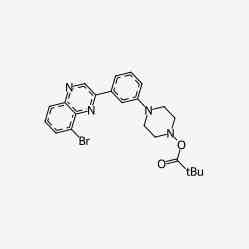 CC(C)(C)C(=O)ON1CCN(c2cccc(-c3cnc4cccc(Br)c4n3)c2)CC1